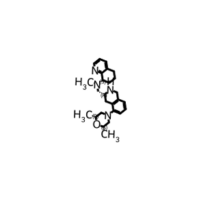 C[C@@H]1CN(c2cccc3c2C[C@H](CN(C)[C@H]2CCCc4cccnc42)NC3)C[C@H](C)O1